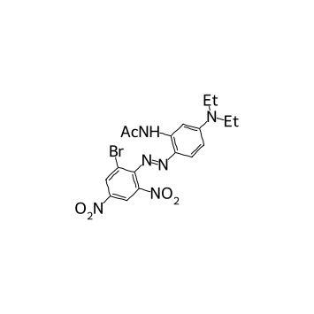 CCN(CC)c1ccc(N=Nc2c(Br)cc([N+](=O)[O-])cc2[N+](=O)[O-])c(NC(C)=O)c1